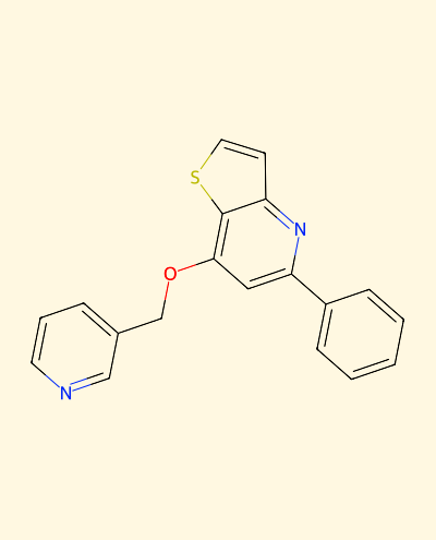 c1ccc(-c2cc(OCc3cccnc3)c3sccc3n2)cc1